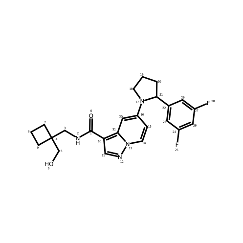 O=C(NCC1(CO)CCC1)c1cnn2ccc(N3CCCC3c3cc(F)cc(F)c3)cc12